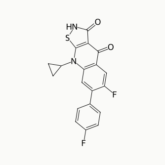 O=c1[nH]sc2c1c(=O)c1cc(F)c(-c3ccc(F)cc3)cc1n2C1CC1